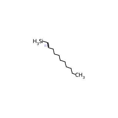 CCCCCCCCC/C=C/[SiH3]